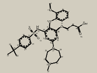 COc1ccccc1Oc1c(NS(=O)(=O)c2ccc(C(C)(C)C)cc2)nc(N2CCCN(C)CC2)nc1OCCC(=O)O